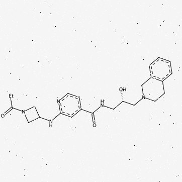 CCC(=O)N1CC(Nc2cc(C(=O)NC[C@H](O)CN3CCc4ccccc4C3)ccn2)C1